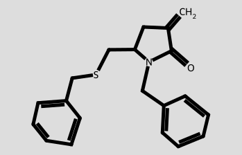 C=C1CC(CSCc2ccccc2)N(Cc2ccccc2)C1=O